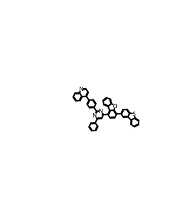 c1ccc(-c2cc(-c3ccc(-c4ccc5sc6ccccc6c5c4)c4oc5ccccc5c34)nc(-c3ccc(-c4ccnc5ccccc45)cc3)n2)cc1